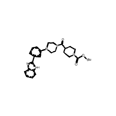 CC(C)(C)OC(=O)N1CCC(C(=O)N2CCN(c3cccc(-c4nc5ccccc5[nH]4)c3)CC2)CC1